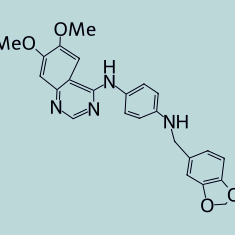 COc1cc2ncnc(Nc3ccc(NCc4ccc5c(c4)OCO5)cc3)c2cc1OC